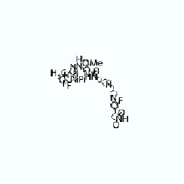 COc1cc(C(=O)NC2CC3(CCN(CC4CCN(c5ccc(C6CCC(=O)NC6=O)cc5F)CC4)CC3)C2)ncc1Nc1ncc2c(n1)N(C(C)C)CC(F)(F)C(=O)N2C